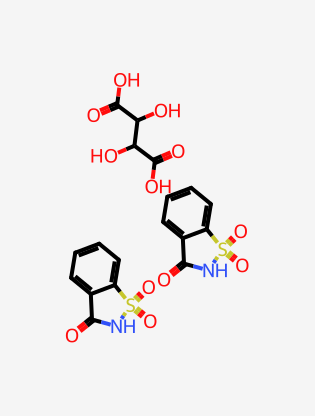 O=C(O)C(O)C(O)C(=O)O.O=C1NS(=O)(=O)c2ccccc21.O=C1NS(=O)(=O)c2ccccc21